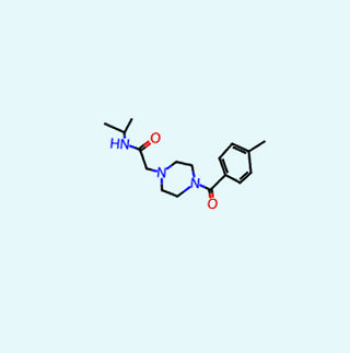 Cc1ccc(C(=O)N2CCN(CC(=O)NC(C)C)CC2)cc1